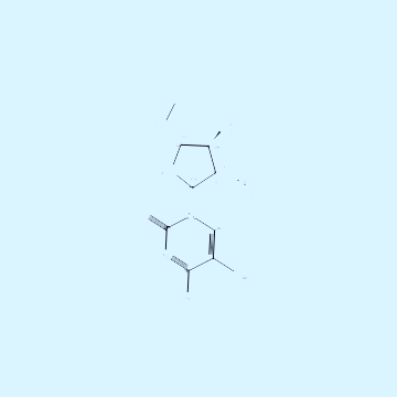 Cl.Nc1nc(=O)n([C@@H]2O[C@H](CO)[C@@H](O)[C@@H]2Br)cc1I